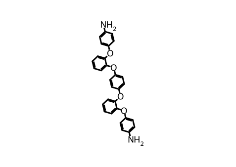 Nc1ccc(Oc2ccccc2Oc2ccc(Oc3ccccc3Oc3ccc(N)cc3)cc2)cc1